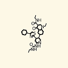 CCNC(=O)Nc1cc(-c2nc(-c3ccccc3)cs2)c(-c2ccc3c(c2)c(=O)c(C(=O)NCC)cn3CC)cn1